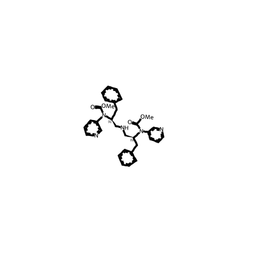 COC(=O)N(c1cccnc1)[C@H](CNC[C@H](Cc1ccccc1)N(C(=O)OC)c1cccnc1)Cc1ccccc1